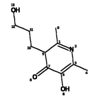 CC1=NC(C)=C(O)C(=O)C1CCCO